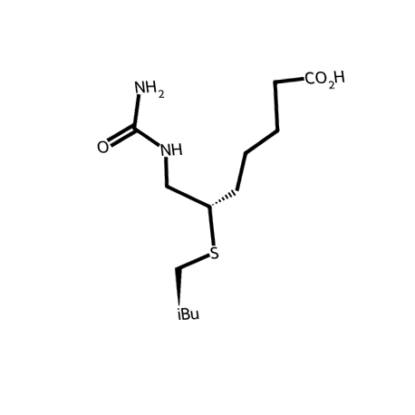 CC[C@H](C)CS[C@@H](CCCCC(=O)O)CNC(N)=O